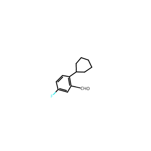 O=Cc1cc(F)ccc1C1CCCCC1